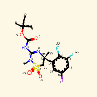 CN1C(NC(=O)OC(C)(C)C)=N[C@](C)(c2cc(I)cc(F)c2F)CS1(=O)=O